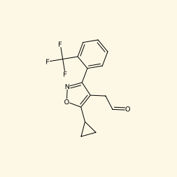 O=CCc1c(-c2ccccc2C(F)(F)F)noc1C1CC1